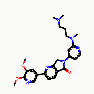 COc1cc(-c2ccc3c(n2)CN(c2ccnc(N(C)CCCN(C)C)c2)C3=O)cnc1OC